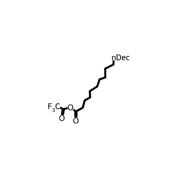 CCCCCCCCCCCCCCCCCCCC(=O)OC(=O)C(F)(F)F